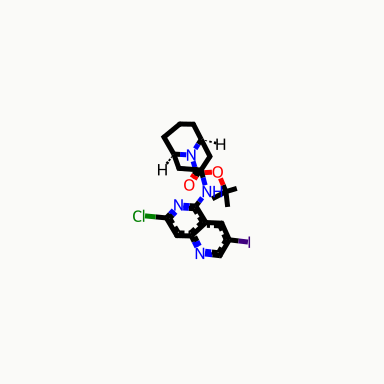 CC(C)(C)OC(=O)N1[C@@H]2CCC[C@H]1CC(Nc1nc(Cl)cc3ncc(I)cc13)C2